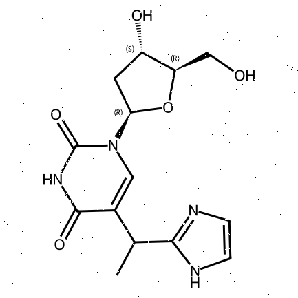 CC(c1ncc[nH]1)c1cn([C@H]2C[C@H](O)[C@@H](CO)O2)c(=O)[nH]c1=O